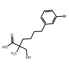 CC(CO)(CCCCc1cccc(Br)c1)C(=O)O